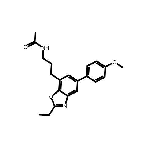 CCc1nc2cc(-c3ccc(OC)cc3)cc(CCCNC(C)=O)c2o1